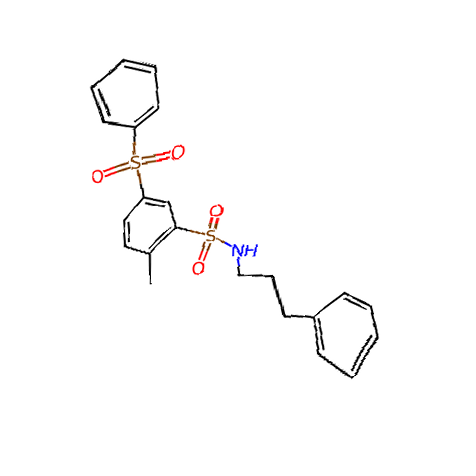 Cc1ccc(S(=O)(=O)c2ccccc2)cc1S(=O)(=O)NCCCc1ccccc1